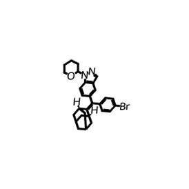 Brc1ccc(C(c2ccc3c(cnn3C3CCCCO3)c2)=C2[C@H]3CC4CC(C3)C[C@@H]2C4)cc1